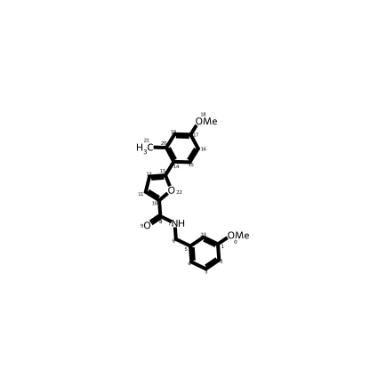 COc1cccc(CNC(=O)c2ccc(-c3ccc(OC)cc3C)o2)c1